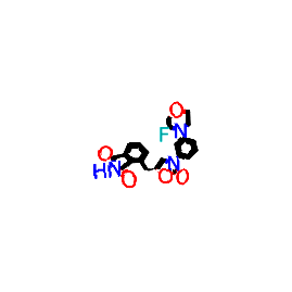 O=C1NC(=O)c2c(C[C@@H]3CN(c4cccc(N5CCOCC5F)c4)C(=O)O3)cccc21